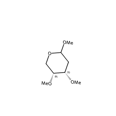 COC1C[C@H](OC)[C@H](OC)CO1